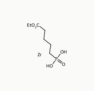 CCOC(=O)CCCCP(=O)(O)O.[Zr]